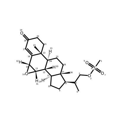 CC(COS(C)(=O)=O)[C@H]1CC[C@H]2[C@@H]3[C@@H]4O[C@@H]4C4=CC(=O)CC[C@]4(C)[C@H]3CC[C@]12C